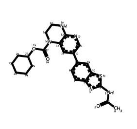 CC(=O)Nc1nc2ccc(-c3cnc4c(c3)N(C(=O)OC3CCCCC3)CCN4)cc2s1